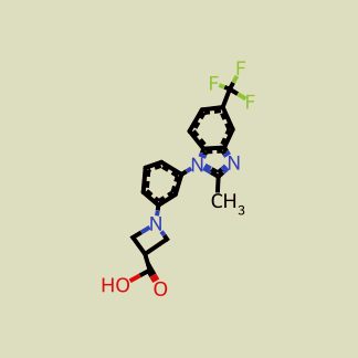 Cc1nc2cc(C(F)(F)F)ccc2n1-c1cccc(N2CC(C(=O)O)C2)c1